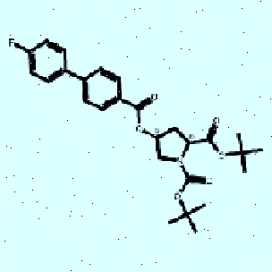 CC(C)(C)OC(=O)[C@@H]1C[C@H](OC(=O)c2ccc(-c3ccc(F)cc3)cc2)CN1C(=O)OC(C)(C)C